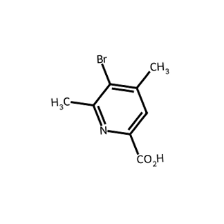 Cc1cc(C(=O)O)nc(C)c1Br